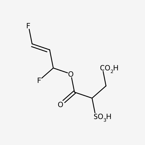 O=C(O)CC(C(=O)OC(F)C=CF)S(=O)(=O)O